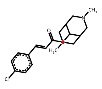 CN1CC2CN(C)CC(C1)C2OC(=O)C=Cc1ccc(Cl)cc1